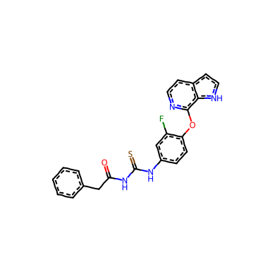 O=C(Cc1ccccc1)NC(=S)Nc1ccc(Oc2nccc3cc[nH]c23)c(F)c1